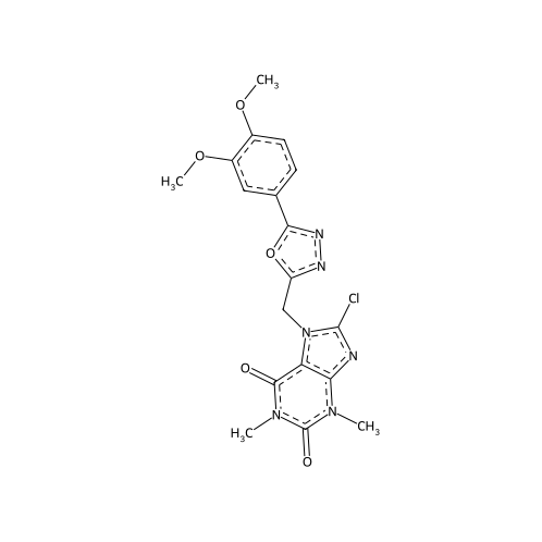 COc1ccc(-c2nnc(Cn3c(Cl)nc4c3c(=O)n(C)c(=O)n4C)o2)cc1OC